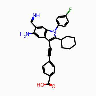 N=Cc1cc2c(cc1N)c(C#Cc1ccc(C(=O)O)cc1)c(C1CCCCC1)n2-c1ccc(F)cc1